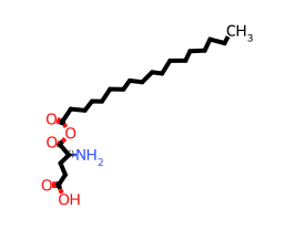 CCCCCCCCCCCCCCCCCC(=O)OC(=O)[C@@H](N)CCC(=O)O